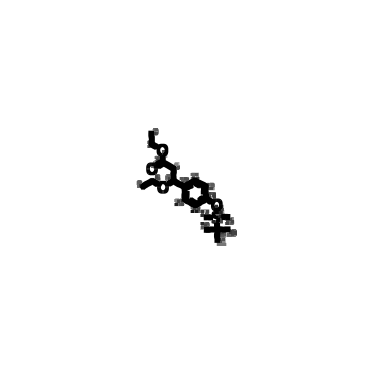 CCOC(=O)CC(OCC)c1ccc(O[Si](C)(C)C(C)(C)C)cc1